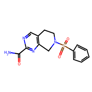 NC(=O)c1n[c]c2c(n1)CN(S(=O)(=O)c1ccccc1)CC2